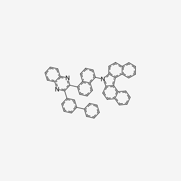 c1ccc(-c2cccc(-c3nc4ccccc4nc3-c3cccc4c(-n5c6ccc7ccccc7c6c6c7ccccc7ccc65)cccc34)c2)cc1